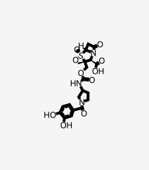 C[C@]1(COC(=O)NC2CCN(C(=O)c3ccc(O)c(O)c3)C2)[C@H](C(=O)O)N2C(=O)C[C@H]2S1(=O)=O